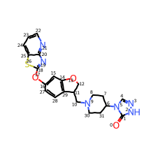 O=c1[nH]ncn1C1CCN(CC2COc3cc(Oc4nc5ncccc5s4)ccc32)CC1